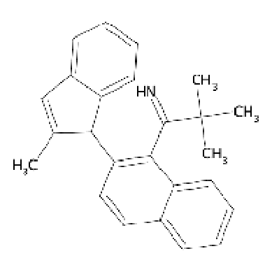 CC1=Cc2ccccc2C1c1ccc2ccccc2c1C(=N)C(C)(C)C